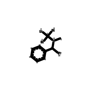 CCC(CC)(CC)N(C)C(c1ccccc1)C(C)C